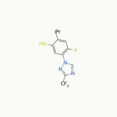 CC(C)c1cc(F)c(-n2cnc(C(F)(F)F)n2)cc1S